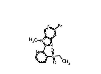 CCS(=O)(=O)c1cccnc1-c1nc2cc(Br)ncc2n1C